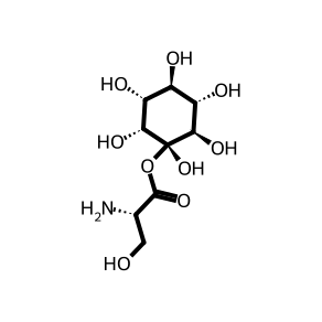 N[C@@H](CO)C(=O)O[C@]1(O)[C@H](O)[C@H](O)[C@@H](O)[C@H](O)[C@H]1O